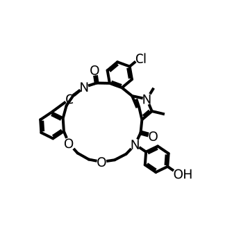 Cc1c2cc(n1C)-c1cc(Cl)ccc1C(=O)N1CCc3c(cccc3OCCOCCN(c3ccc(O)cc3)C2=O)C1